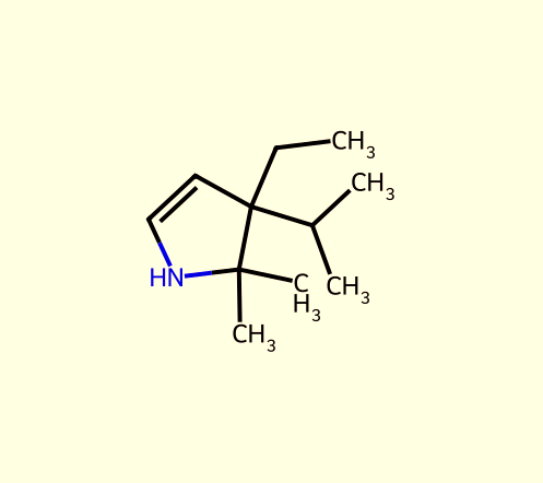 CCC1(C(C)C)C=CNC1(C)C